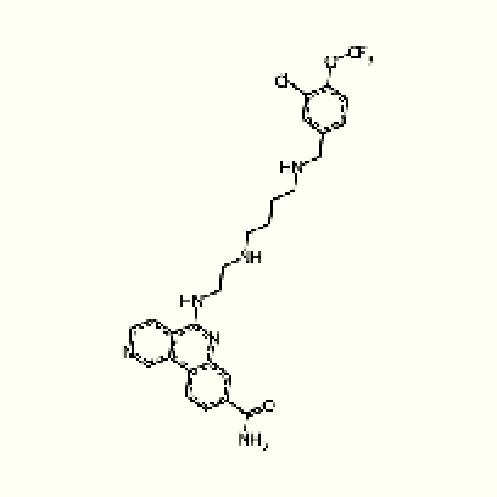 NC(=O)c1ccc2c(c1)nc(NCCNCCCCNCc1ccc(OC(F)(F)F)c(Cl)c1)c1ccncc12